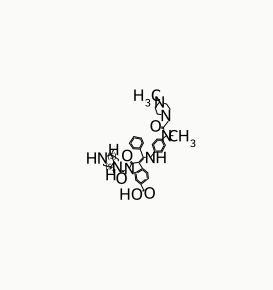 CN1CCN(CC(=O)N(C)c2ccc(NC(=C3C(=O)N(C(=O)N4C[C@@H]5C[C@H]4CN5)c4cc(C(=O)O)ccc43)c3ccccc3)cc2)CC1